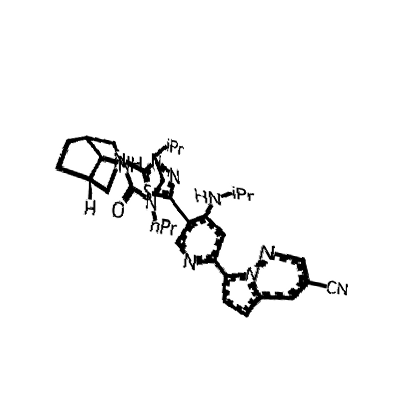 CCCN(CCC(C)C)C(=O)NC1C2CC[C@H]1CN(c1nnc(-c3cnc(-c4ccc5cc(C#N)cnn45)cc3NC(C)C)s1)C2